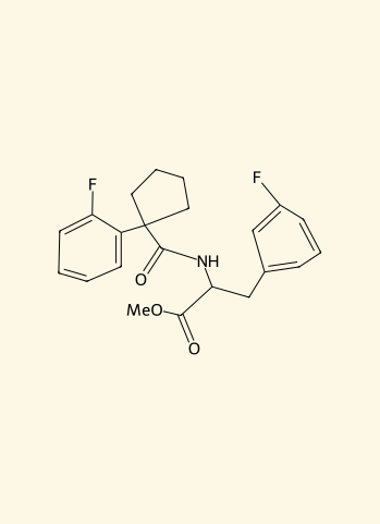 COC(=O)C(Cc1cccc(F)c1)NC(=O)C1(c2ccccc2F)CCCC1